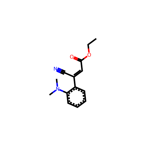 CCOC(=O)C=C(C#N)c1ccccc1N(C)C